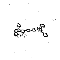 CC1(C)C=Cc2ccc3c(c21)c1ccc(-c2ccc(-c4ccc(-c5nc(-c6ccccc6)cc(-c6ccccc6)n5)cc4)cc2)cc1n3-c1ccccc1